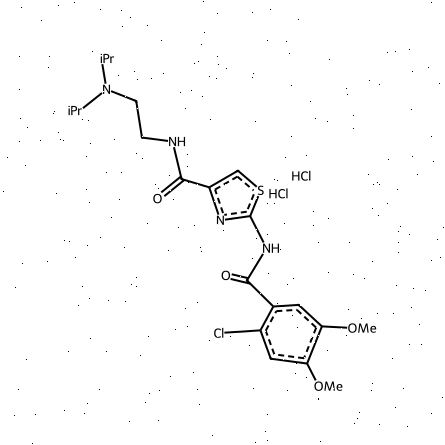 COc1cc(Cl)c(C(=O)Nc2nc(C(=O)NCCN(C(C)C)C(C)C)cs2)cc1OC.Cl.Cl